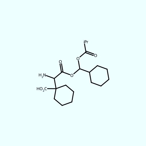 CC(C)C(=O)OC(OC(=O)C(N)C1(C(=O)O)CCCCC1)C1CCCCC1